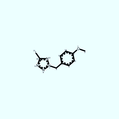 COc1ccc(Cn2nnc(I)n2)cc1